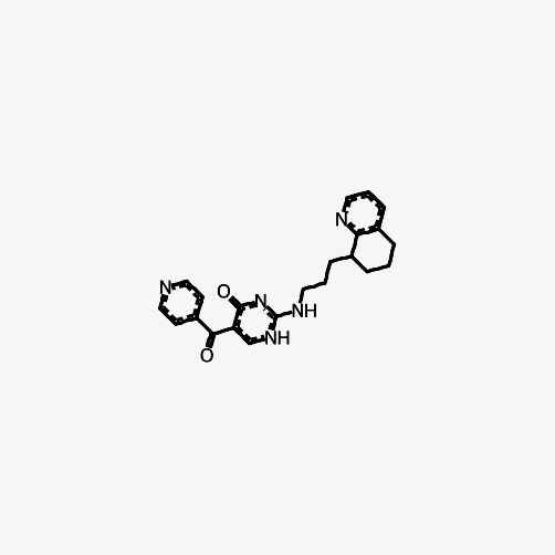 O=C(c1ccncc1)c1c[nH]c(NCCCC2CCCc3cccnc32)nc1=O